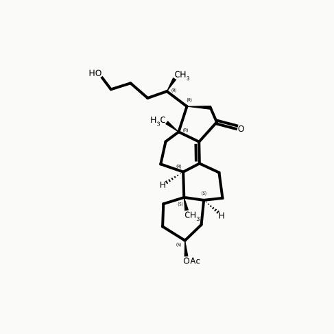 CC(=O)O[C@H]1CC[C@@]2(C)[C@@H](CCC3=C4C(=O)C[C@H]([C@H](C)CCCO)[C@@]4(C)CC[C@@H]32)C1